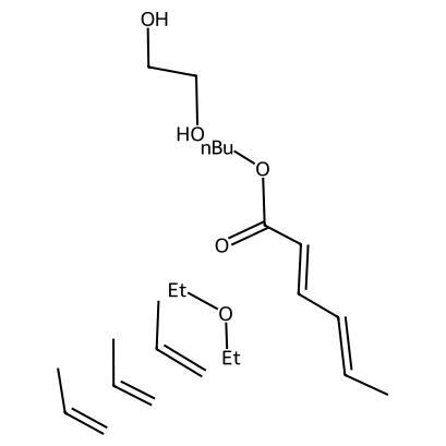 C/C=C/C=C/C(=O)OCCCC.C=CC.C=CC.C=CC.CCOCC.OCCO